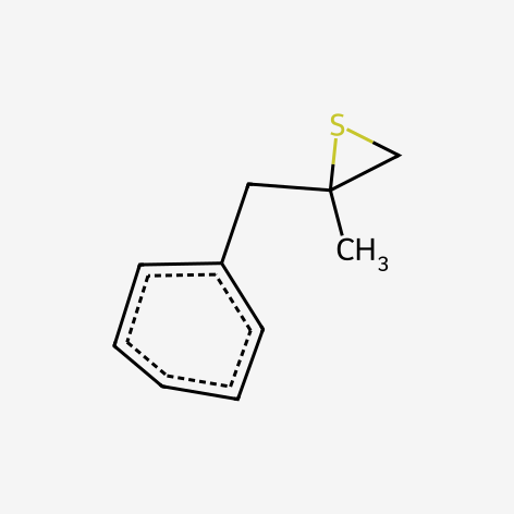 CC1(Cc2ccccc2)CS1